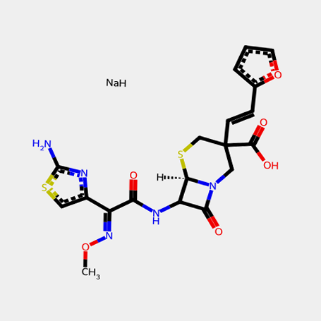 CON=C(C(=O)NC1C(=O)N2CC(C=Cc3ccco3)(C(=O)O)CS[C@H]12)c1csc(N)n1.[NaH]